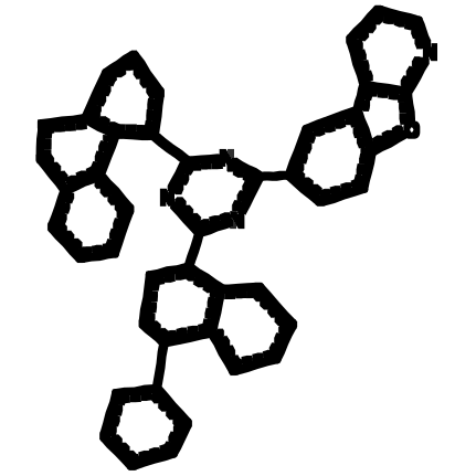 c1ccc(-c2ccc(-c3nc(-c4ccc5oc6ncccc6c5c4)nc(-c4cccc5ccc6ccccc6c45)n3)c3ccccc23)cc1